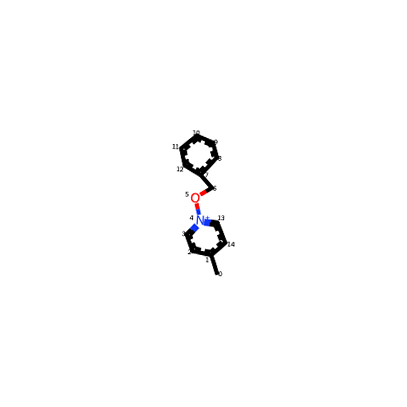 Cc1cc[n+](OCc2ccccc2)cc1